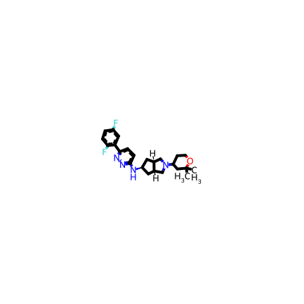 CC1(C)CC(N2C[C@H]3C[C@@H](Nc4ccc(-c5cc(F)ccc5F)nn4)C[C@H]3C2)CCO1